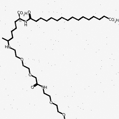 CC(=O)COCCOCCNC(=O)COCCOCCNC(C)CCCC[C@H](NC(=O)CCCCCCCCCCCCCCC(=O)O)C(=O)O